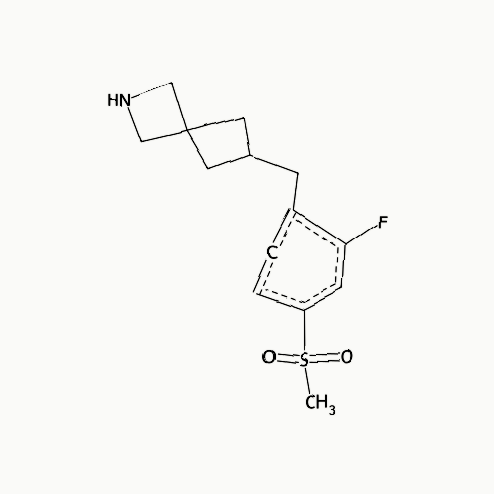 CS(=O)(=O)c1ccc(CC2CC3(CNC3)C2)c(F)c1